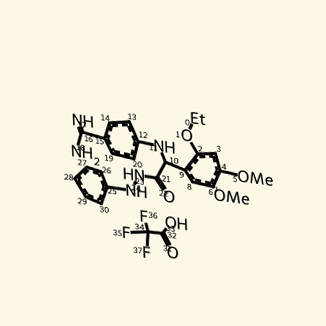 CCOc1cc(OC)c(OC)cc1C(Nc1ccc(C(=N)N)cc1)C(=O)NNc1ccccc1.O=C(O)C(F)(F)F